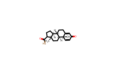 C[C@]12C=CC(=O)C=C1CC[C@@H]1[C@@H]2CC[C@]2(C)C(C(=O)S)CC[C@@H]12